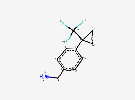 NCc1ccc(C2(C(F)(F)F)CC2)cc1